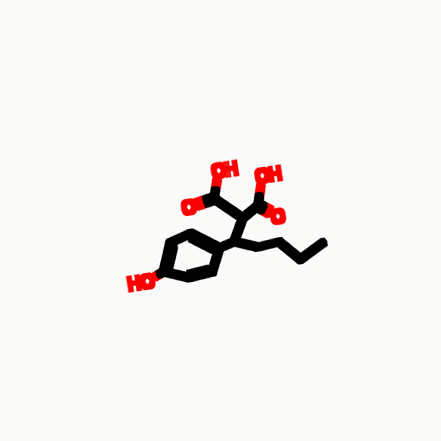 CCCCC(c1ccc(O)cc1)C(C(=O)O)C(=O)O